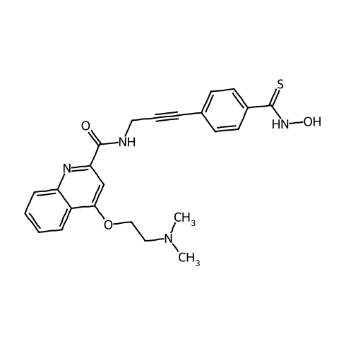 CN(C)CCOc1cc(C(=O)NCC#Cc2ccc(C(=S)NO)cc2)nc2ccccc12